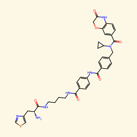 N[C@@H](Cc1cscn1)C(=O)NCCCCNC(=O)c1ccc(NC(=O)c2ccc(CN(C(=O)c3ccc4c(c3)OCC(=O)N4)C3CC3)cc2)cc1